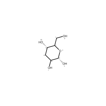 OCC1O[C@H](O)C(O)C[C@@H]1O